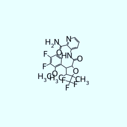 COc1c(C2C(C(=O)Nc3cccnc3C(N)=O)OC(C)(C(F)(F)F)C2C)ccc(F)c1F